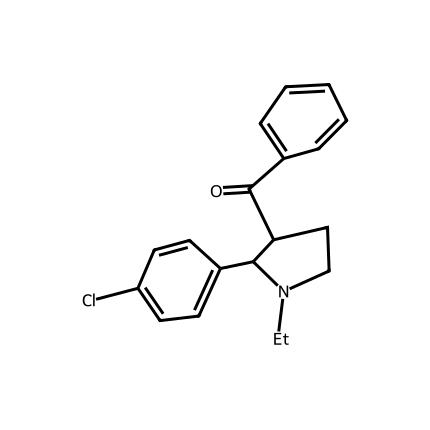 CCN1CCC(C(=O)c2ccccc2)C1c1ccc(Cl)cc1